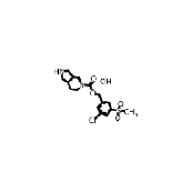 CS(=O)(=O)c1cc(Cl)cc(COC(=O)N2CCC3CNCC3C2)c1.Cl